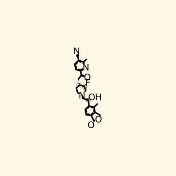 Cc1nc(C(=O)C[C@H]2CCN(C[C@H](O)c3ccc4c(c3C)COC4=O)C[C@H]2F)ccc1C#N